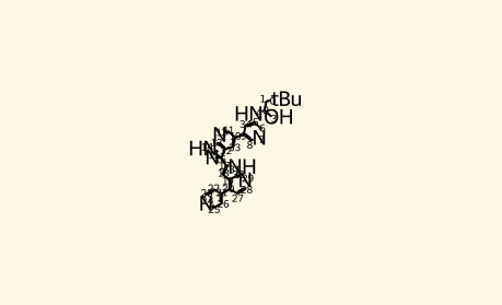 CC(C)(C)CC(O)Nc1cncc(-c2cnc3[nH]nc(-c4cc5c(-c6ccncc6)ccnc5[nH]4)c3c2)c1